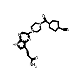 N#CC1CCC(C(=O)N2CCN(c3cnc4[nH]cc(C=CC(N)=O)c4n3)CC2)CC1